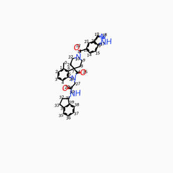 Cc1cccc2c1C1(CCN(C(=O)c3ccc4[nH]ncc4c3)CC1)C(=O)N2CC(=O)NC1CCc2ccccc21